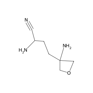 N#CC(N)CCC1(N)COC1